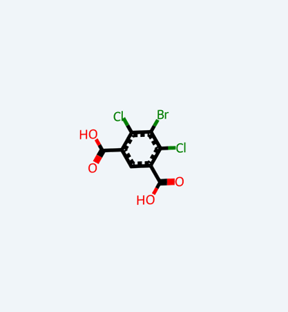 O=C(O)c1cc(C(=O)O)c(Cl)c(Br)c1Cl